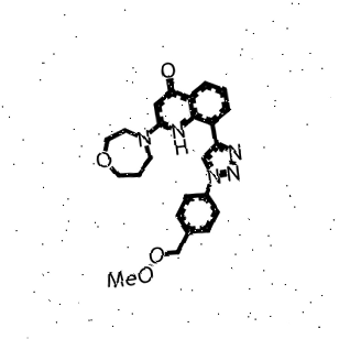 COOCc1ccc(-n2cc(-c3cccc4c(=O)cc(N5CCCOCC5)[nH]c34)nn2)cc1